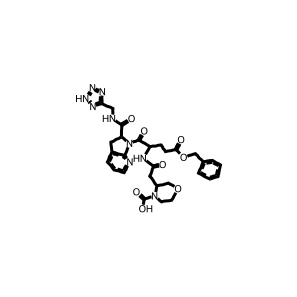 O=C(CC1COCCN1C(=O)O)NC(CCC(=O)OCc1ccccc1)C(=O)N1c2ncccc2CC1C(=O)NCc1nn[nH]n1